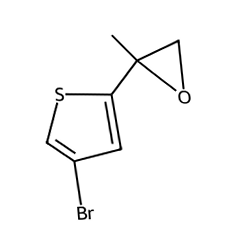 CC1(c2cc(Br)cs2)CO1